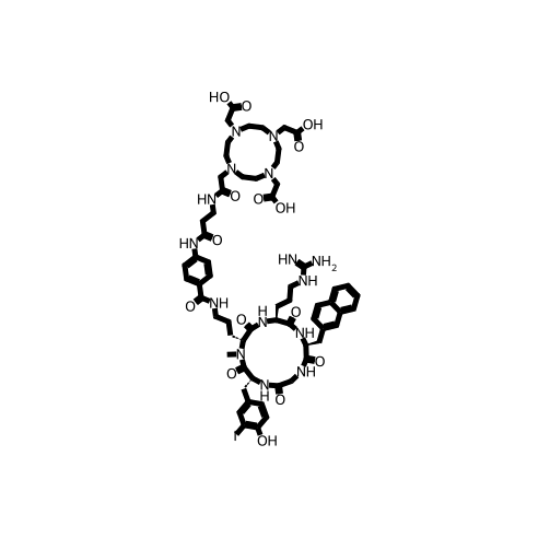 CN1C(=O)[C@@H](Cc2ccc(O)c(I)c2)NC(=O)CNC(=O)[C@H](Cc2ccc3ccccc3c2)NC(=O)[C@H](CCCNC(=N)N)NC(=O)[C@H]1CCCNC(=O)c1ccc(NC(=O)CCNC(=O)CN2CCN(CC(=O)O)CCN(CC(=O)O)CCN(CC(=O)O)CC2)cc1